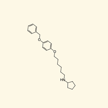 c1ccc(COc2ccc(OCCCCCCNC3CCCC3)cc2)cc1